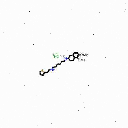 CCCN(CCCCCCNCCc1cccs1)C1CCc2c(ccc(OC)c2OC)C1.Cl.Cl